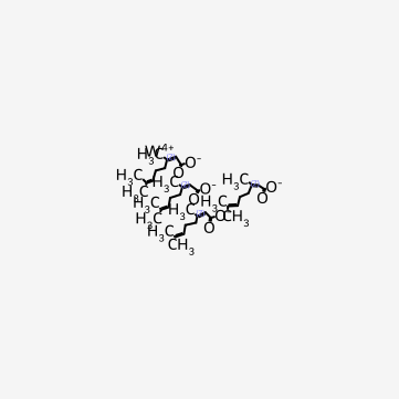 CC(C)=CCC/C(C)=C\C(=O)[O-].CC(C)=CCC/C(C)=C\C(=O)[O-].CC(C)=CCC/C(C)=C\C(=O)[O-].CC(C)=CCC/C(C)=C\C(=O)[O-].[W+4]